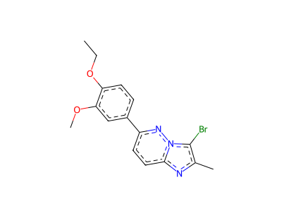 CCOc1ccc(-c2ccc3nc(C)c(Br)n3n2)cc1OC